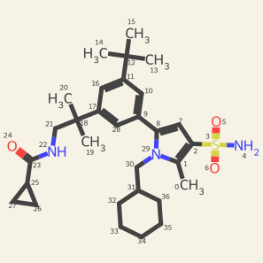 Cc1c(S(N)(=O)=O)cc(-c2cc(C(C)(C)C)cc(C(C)(C)CNC(=O)C3CC3)c2)n1CC1CCCCC1